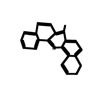 Cc1c2ccc3c(c2nc2c1ccc1ccccc12)C=CCC3